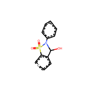 O=S1(=O)c2ccccc2C(O)N1c1ccccc1